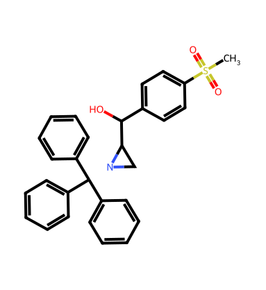 CS(=O)(=O)c1ccc(C(O)C2C[N@@]2C(c2ccccc2)(c2ccccc2)c2ccccc2)cc1